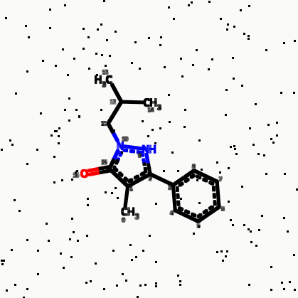 Cc1c(-c2ccccc2)[nH]n(CC(C)C)c1=O